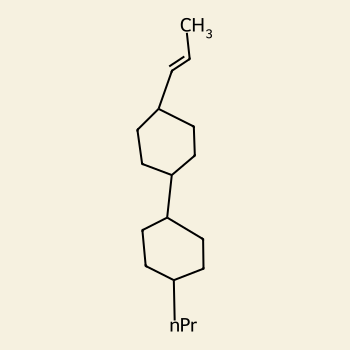 CC=CC1CCC(C2CCC(CCC)CC2)CC1